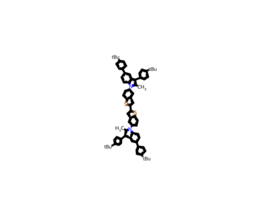 Cc1c(-c2ccc(C(C)(C)C)cc2)c2cc(-c3ccc(C(C)(C)C)cc3)ccc2n1-c1ccc2sc(-c3cc4cc(-n5c(C)c(-c6ccc(C(C)(C)C)cc6)c6cc(-c7ccc(C(C)(C)C)cc7)ccc65)ccc4s3)cc2c1